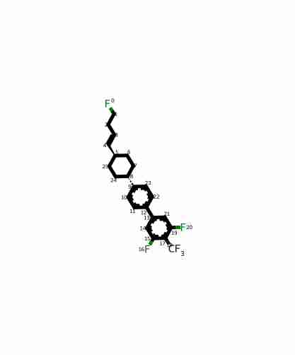 FCC/C=C/[C@H]1CC[C@H](c2ccc(-c3cc(F)c(C(F)(F)F)c(F)c3)cc2)CC1